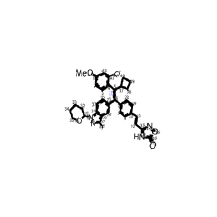 COc1ccc(/C(=C(/c2ccc(C=Cc3noc(=O)[nH]3)cc2)c2ccc3c(c2)c(F)nn3C2CCCCO2)C2CCC2)c(Cl)c1